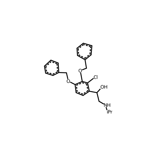 CC(C)NCC(O)c1ccc(OCc2ccccc2)c(OCc2ccccc2)c1Cl